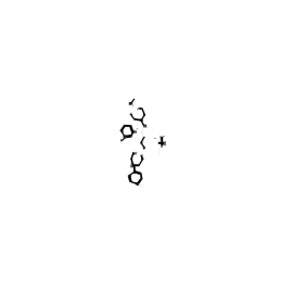 CC(=O)N1CCC(C(=O)N(CCCN2CCC(O)(c3ccc(Cl)cc3)CC2)c2cccc(Cl)c2)CC1.O=C(O)C(F)(F)F